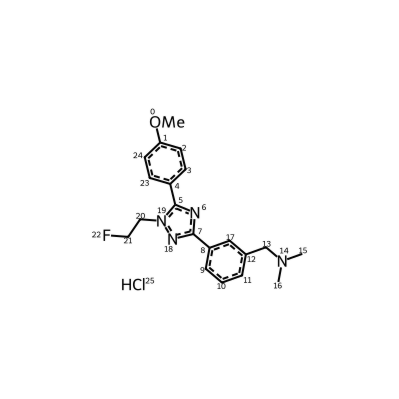 COc1ccc(-c2nc(-c3cccc(CN(C)C)c3)nn2CCF)cc1.Cl